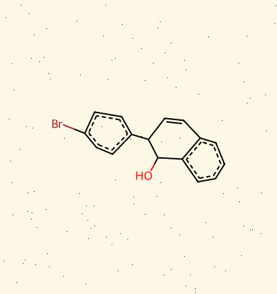 OC1c2ccccc2C=CC1c1ccc(Br)cc1